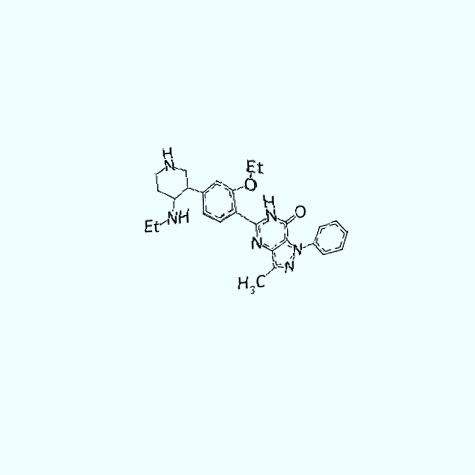 CCNC1CCNCC1c1ccc(-c2nc3c(C)nn(-c4ccccc4)c3c(=O)[nH]2)c(OCC)c1